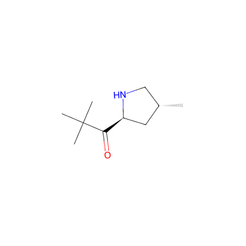 C[C@H]1CN[C@H](C(=O)C(C)(C)C)C1